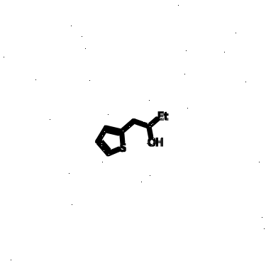 CCC(O)Cc1cccs1